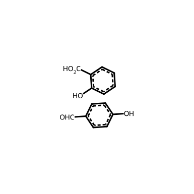 O=C(O)c1ccccc1O.O=Cc1ccc(O)cc1